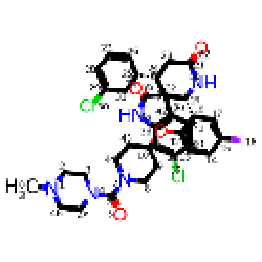 CN1CCN(C(=O)N2CCC(Oc3ccc(I)cc3[C@H]3NC(=O)C[C@@H](C4C=CC=C(Cl)C4)[C@]34C(=O)Nc3cc(Cl)ccc34)CC2)CC1